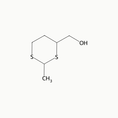 CC1SCCC(CO)S1